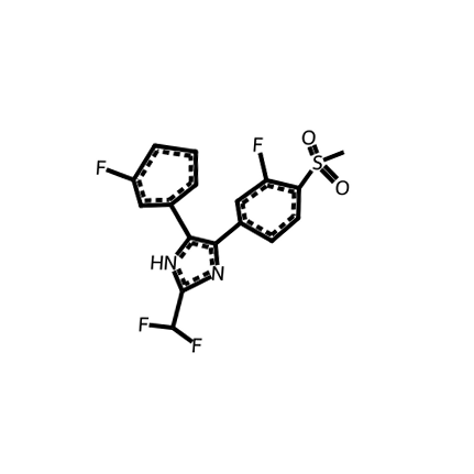 CS(=O)(=O)c1ccc(-c2nc(C(F)F)[nH]c2-c2cccc(F)c2)cc1F